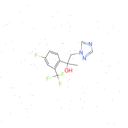 CC(O)(Cn1cncn1)c1ccc(F)cc1C(F)(F)F